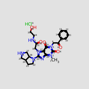 Cl.Cn1c(=O)n(CC(=O)c2ccccc2)c(=O)c2c1nc(N1CCC3CNCC31)n2CC(=O)NCCO